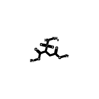 CC(C)OC(=O)CC(C(=O)OC(C)C)S(=O)(=O)NN